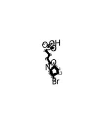 O=S(=O)(O)CCCc1nc2[c]c(Br)ccc2o1